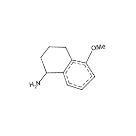 COc1cccc2c1CCCC2N